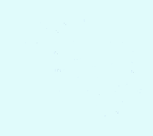 Cc1ccc(-n2nc(C(C)(C)C)cc2NC(=O)Nc2cccc(C(C(=O)c3cc(O)nc4ccccc34)C3CCNCC3)c2)cc1